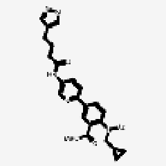 COC(=O)c1cc(-c2ccc(NC(=O)CCCc3cn[nH]c3)cn2)ccc1N(CC1CC1)C(C)=O